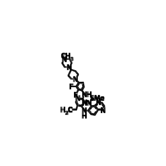 C=Cc1cnc(Nc2ccc(N3CCC(N4CCN(C)CC4)CC3)c(F)c2F)nc1Nc1ccc2nccnc2c1NSC